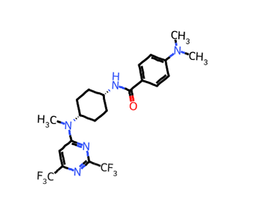 CN(C)c1ccc(C(=O)N[C@H]2CC[C@@H](N(C)c3cc(C(F)(F)F)nc(C(F)(F)F)n3)CC2)cc1